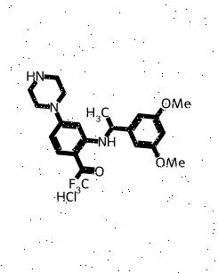 COc1cc(OC)cc(C(C)Nc2cc(N3CCNCC3)ccc2C(=O)C(F)(F)F)c1.Cl